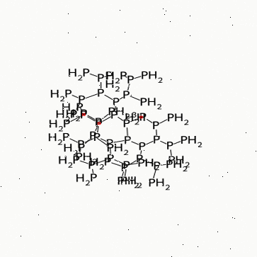 [3H]P(P(P(P(P)P)P(P)P)P(P(P)P(P)P)P(P(P)P)P(P)P)P(P(P(P(P)P)P(P)P)P(P(P)P)P(P)P)P(P(P(P)P)P(P)P)P(P(P)P)P(P)P